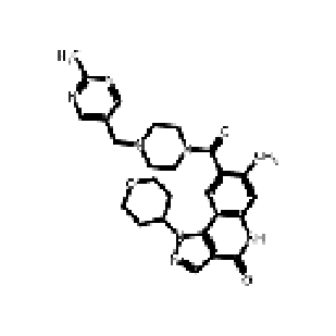 Cc1ncc(CN2CCN(C(=O)c3cc4c(cc3C)[nH]c(=O)c3cnn(C5CCOCC5)c34)CC2)cn1